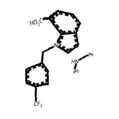 CC(C)NC(C)C.O=C(O)c1cccc2ccn(Cc3ccc(C(F)(F)F)cc3)c12